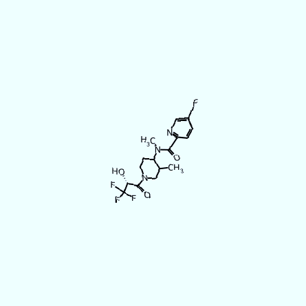 CC1CN(C(=O)[C@@H](O)C(F)(F)F)CCC1N(C)C(=O)c1ccc(F)cn1